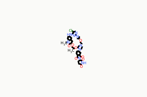 CC(=O)COc1cc2cc(Nc3nc(N4CC(OCCN5CCN(c6ccc7c(c6)C(=O)N(C6CCC(=O)NC6=O)C7=O)CC5)C4)ncc3Cl)ccc2n(C)c1=O